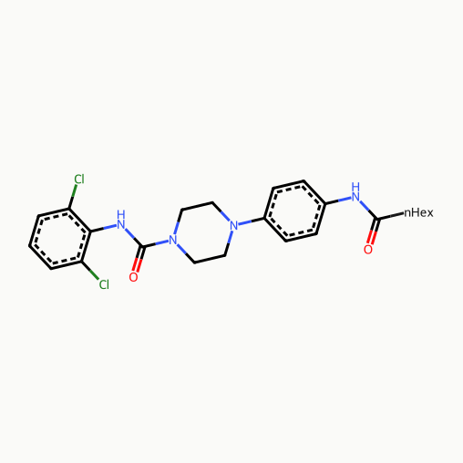 CCCCCCC(=O)Nc1ccc(N2CCN(C(=O)Nc3c(Cl)cccc3Cl)CC2)cc1